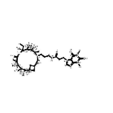 CC[C@H]1OC(=O)[C@H](C)[C@@H](O)[C@H](C)[C@@H](O)[C@]2(O)C[C@H](CN(CCCNC(=O)CCn3cnc4c3c(=O)n(C)c(=O)n4C)[C@H](C)[C@@H](O)[C@]1(C)O)C2